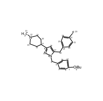 CC(C)COc1ccc(Cn2nc(C3CCN(C)CC3)cc2Cc2ccc(F)cc2)cc1